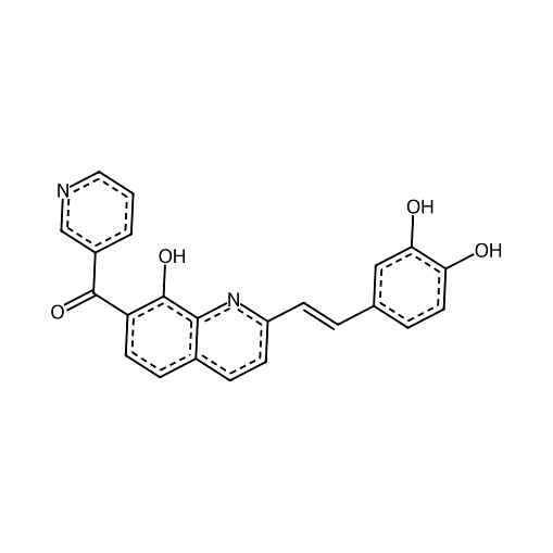 O=C(c1cccnc1)c1ccc2ccc(C=Cc3ccc(O)c(O)c3)nc2c1O